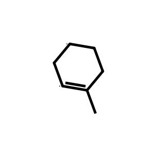 CC1=[C]C[CH]CC1